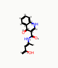 C=C(O)/C=C(\C)NC(=O)c1c[nH]c2ccccc2c1=O